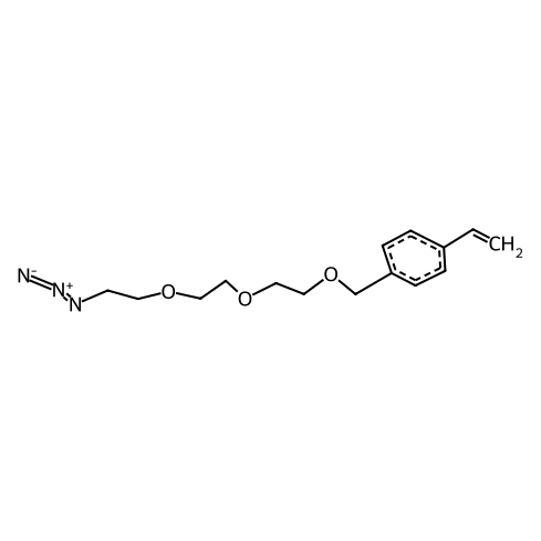 C=Cc1ccc(COCCOCCOCCN=[N+]=[N-])cc1